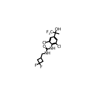 CC(O)(c1cc(Cl)c(NC(=O)NCC2CC(F)(F)C2)c(Cl)c1)C(F)(F)F